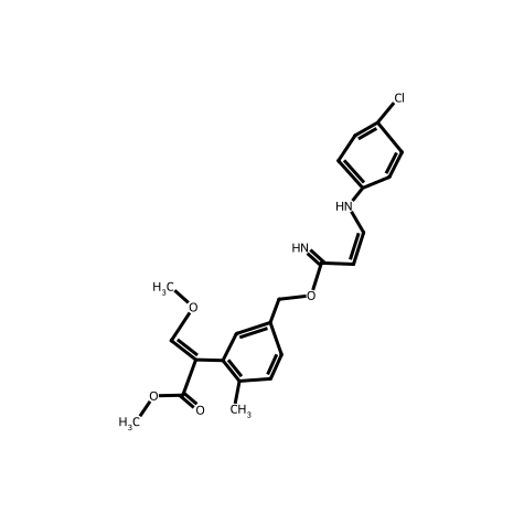 CO/C=C(/C(=O)OC)c1cc(COC(=N)/C=C\Nc2ccc(Cl)cc2)ccc1C